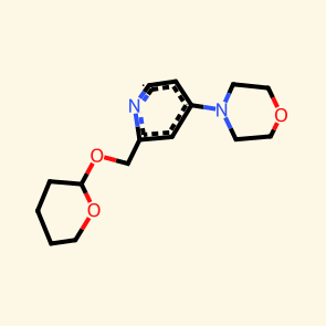 [c]1cc(N2CCOCC2)cc(COC2CCCCO2)n1